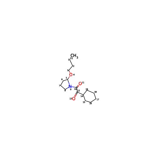 CCCCOC1CCCN1C(=O)C(=O)C1CCCCC1